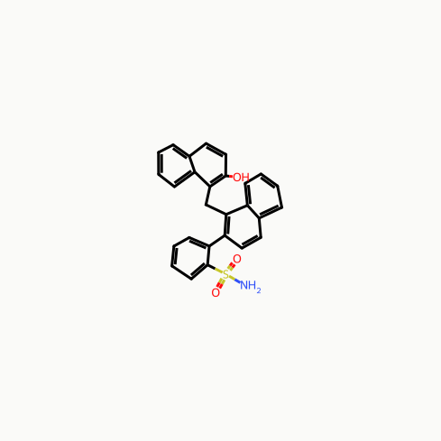 NS(=O)(=O)c1ccccc1-c1ccc2ccccc2c1Cc1c(O)ccc2ccccc12